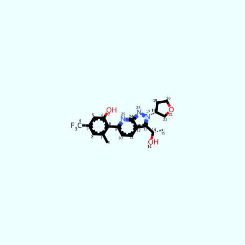 Cc1cc(C(F)(F)F)cc(O)c1-c1ccc2c([C@H](C)O)n([C@@H]3CCOC3)nc2n1